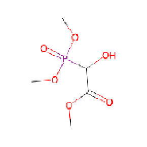 COC(=O)C(O)P(=O)(OC)OC